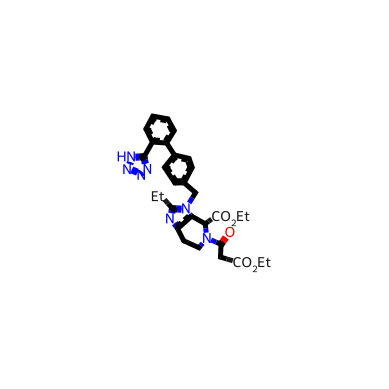 CCOC(=O)CC(=O)N1CCc2nc(CC)n(Cc3ccc(-c4ccccc4-c4nnn[nH]4)cc3)c2C1C(=O)OCC